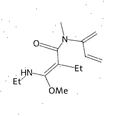 C=CC(=C)N(C)C(=O)/C(CC)=C(\NCC)OC